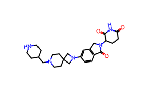 O=C1CCC(N2Cc3cc(N4CC5(CCN(CC6CCNCC6)CC5)C4)ccc3C2=O)C(=O)N1